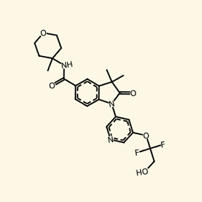 CC1(NC(=O)c2ccc3c(c2)C(C)(C)C(=O)N3c2cncc(OC(F)(F)CO)c2)CCOCC1